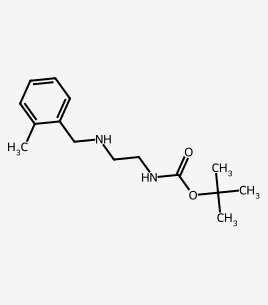 Cc1ccccc1CNCCNC(=O)OC(C)(C)C